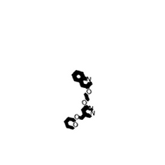 c1ccc2ncc(OCCOc3cc(COC4CCCCO4)cnn3)cc2c1